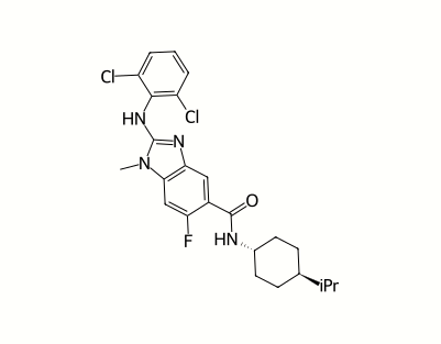 CC(C)[C@H]1CC[C@H](NC(=O)c2cc3nc(Nc4c(Cl)cccc4Cl)n(C)c3cc2F)CC1